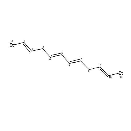 CCC=CCC=CC=CCC=CCC